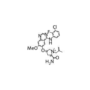 C=C(C)C[N+]1(C)C[C@@H](Oc2cc3c(Nc4cccc(Cl)c4F)ncnc3cc2OC)C[C@@H]1C(N)=O